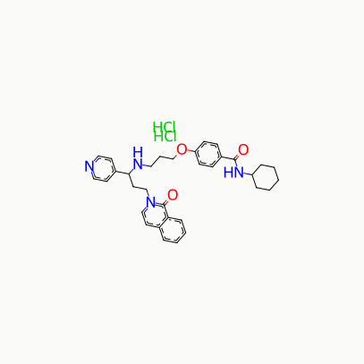 Cl.Cl.O=C(NC1CCCCC1)c1ccc(OCCCNC(CCn2ccc3ccccc3c2=O)c2ccncc2)cc1